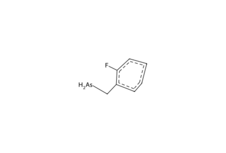 Fc1ccccc1C[AsH2]